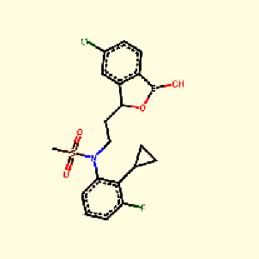 CS(=O)(=O)N(CCC1OB(O)c2ccc(Cl)cc21)c1c[c]cc(F)c1C1CC1